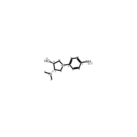 CN(C)[C@H]1CN(c2ccc(N)cc2)C[C@@H]1O